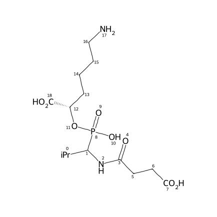 CC(C)C(NC(=O)CCC(=O)O)P(=O)(O)O[C@@H](CCCCN)C(=O)O